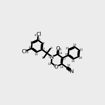 CC(C)(c1cc(Cl)cc(Cl)c1)N1COC(C#N)=C(c2ccccc2)C1=O